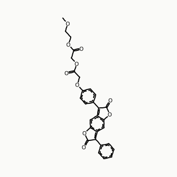 COCCOC(=O)COC(=O)COc1ccc(C2=c3cc4c(cc3OC2=O)=C(c2ccccc2)C(=O)O4)cc1